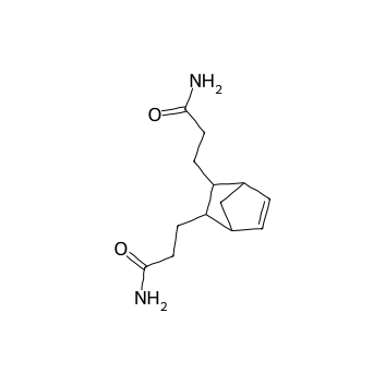 NC(=O)CCC1C2C=CC(C2)C1CCC(N)=O